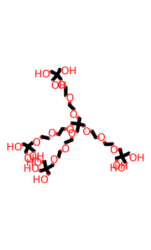 OCC(CO)(CO)COCCOCCOCC(COCCOCCOCC(CO)(CO)CO)(COCCOCCOCC(CO)(CO)CO)COCCOCCOCC(CO)(CO)CO